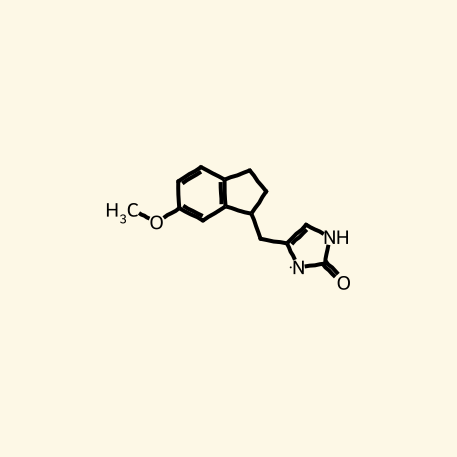 COc1ccc2c(c1)C(CC1=CNC(=O)[N]1)CC2